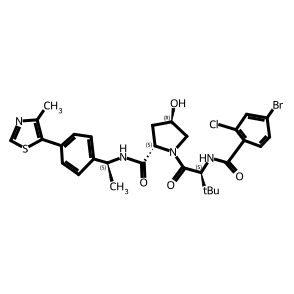 Cc1ncsc1-c1ccc([C@H](C)NC(=O)[C@@H]2C[C@@H](O)CN2C(=O)[C@@H](NC(=O)c2ccc(Br)cc2Cl)C(C)(C)C)cc1